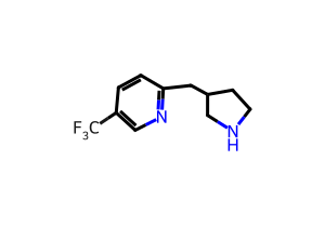 FC(F)(F)c1ccc(CC2CCNC2)nc1